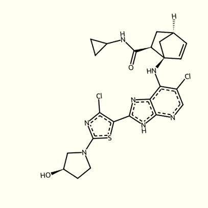 O=C(NC1CC1)[C@H]1C[C@H]2C=C[C@@]1(Nc1c(Cl)cnc3[nH]c(-c4sc(N5CC[C@@H](O)C5)nc4Cl)nc13)C2